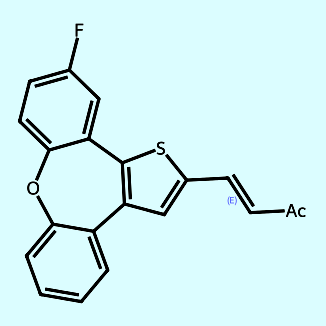 CC(=O)/C=C/c1cc2c(s1)-c1cc(F)ccc1Oc1ccccc1-2